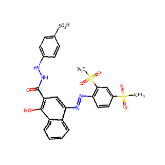 CS(=O)(=O)c1ccc(N=Nc2cc(C(=O)NNc3ccc(S(=O)(=O)O)cc3)c(O)c3ccccc23)c(S(C)(=O)=O)c1